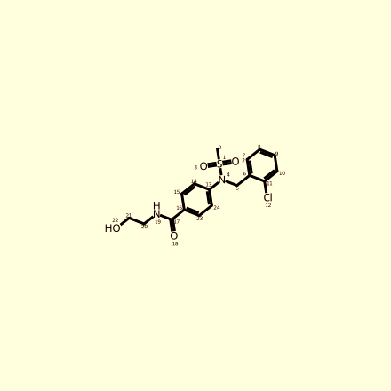 CS(=O)(=O)N(Cc1ccccc1Cl)c1ccc(C(=O)NCCO)cc1